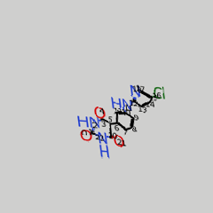 O=C1NC(=O)C(c2cccc(Nc3ccc(Cl)cn3)c2)C(=O)N1